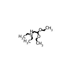 CCOC(C[SiH](CC)CC)OCC